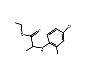 CCOC(=O)C(C)Nc1ccc(Cl)cc1I